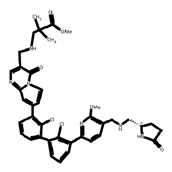 COC(=O)C(C)(C)CNCc1cnc2cc(-c3cccc(-c4cccc(-c5ccc(CNC[C@@H]6CCC(=O)N6)c(OC)n5)c4Cl)c3Cl)ccn2c1=O